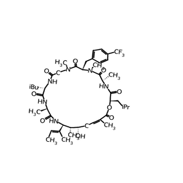 C/C=C(\C)[C@H]1NC(=O)[C@@H](C)NC(=O)[C@H](C(C)CC)NC(=O)CN(C)C(=O)[C@@H](Cc2ccc(C(F)(F)F)cc2)N(C)C(=O)[C@H](C)NC(=O)[C@@H](CC(C)C)OC(=O)/C(C)=C/C[C@H](O)[C@@H]1C